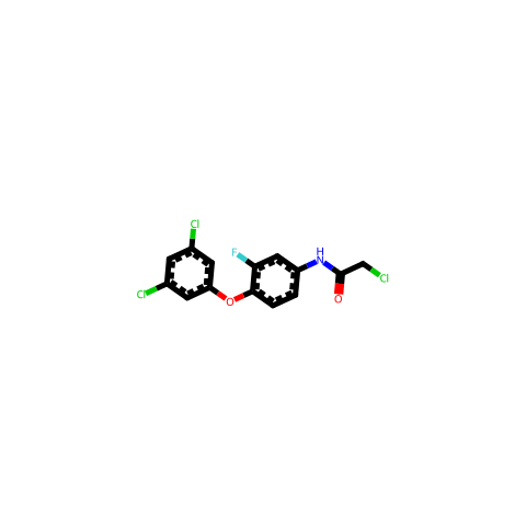 O=C(CCl)Nc1ccc(Oc2cc(Cl)cc(Cl)c2)c(F)c1